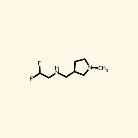 CN1CCC(CNCC(F)F)C1